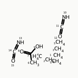 C.C.C.C.C.C.CC(=O)O.N=C=O.N=C=O